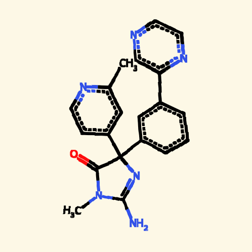 Cc1cc(C2(c3cccc(-c4cnccn4)c3)N=C(N)N(C)C2=O)ccn1